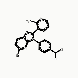 [2H]C(Cl)c1ccc(-n2c(-c3cccnc3N)nc3ccc(Br)nc32)cc1